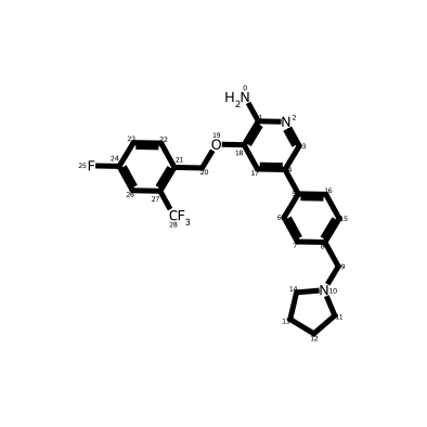 Nc1ncc(-c2ccc([CH]N3CCCC3)cc2)cc1OCc1ccc(F)cc1C(F)(F)F